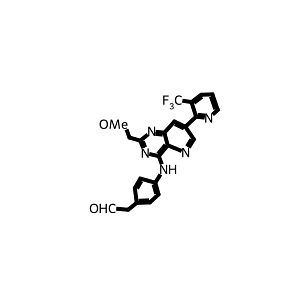 COCc1nc(Nc2ccc(CC=O)cc2)c2ncc(-c3ncccc3C(F)(F)F)cc2n1